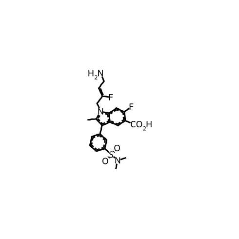 Cc1c(-c2cccc(S(=O)(=O)N(C)C)c2)c2cc(C(=O)O)c(F)cc2n1CC(F)=CCN